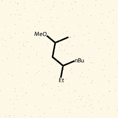 [CH2]C(CC(CC)CCCC)OC